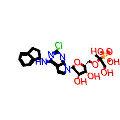 CC(CO)(OC[C@H]1O[C@@H](n2ccc3c(N[C@@H]4CCc5ccccc54)nc(Cl)nc32)[C@H](O)[C@@H]1O)P(=O)(O)O